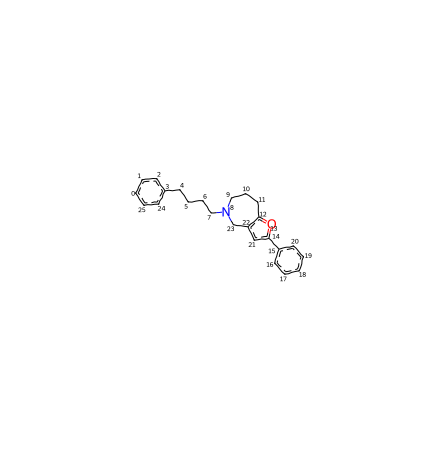 c1ccc(CCCCN2CCCc3oc(-c4ccccc4)cc3C2)cc1